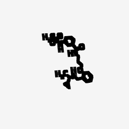 CC(NCc1ccccc1OCCCNC(=O)c1cccc(NS(C)(=O)=O)c1)C1CC1